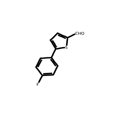 O=Cc1ccc(-c2ccc(F)cc2)s1